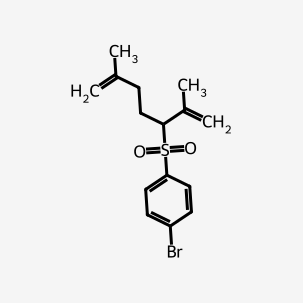 C=C(C)CCC(C(=C)C)S(=O)(=O)c1ccc(Br)cc1